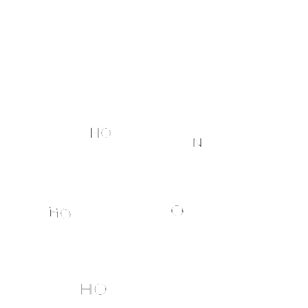 OCC1OC(n2ccc3ccccc32)C(O)C1O